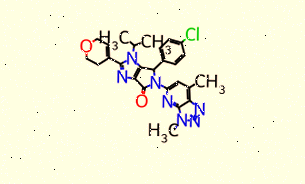 Cc1cc(N2C(=O)c3nc(C4=CCOCC4)n(C(C)C)c3C2c2ccc(Cl)cc2)nc2c1nnn2C